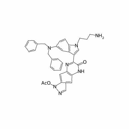 CC(=O)On1ncc2cc3[nH]c(=O)c(-c4cn(CCCN)c5ccc(N(Cc6ccccc6)Cc6ccccc6)cc45)nc3cc21